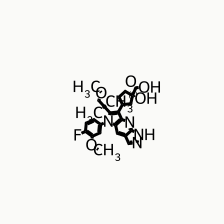 COCC(C)(C)c1c(C2CC[C@@](O)(C(=O)O)C2)c2nc3[nH]ncc3cc2n1-c1ccc(F)c(OC)c1